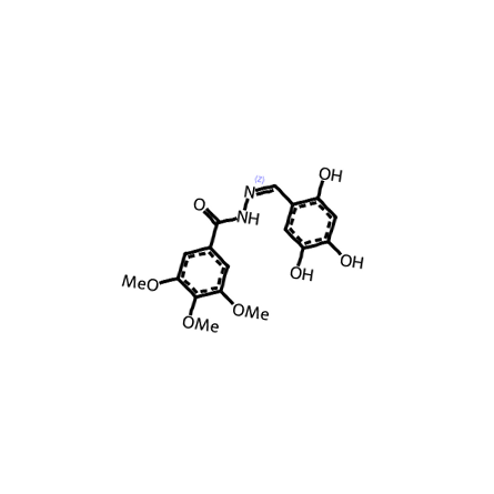 COc1cc(C(=O)N/N=C\c2cc(O)c(O)cc2O)cc(OC)c1OC